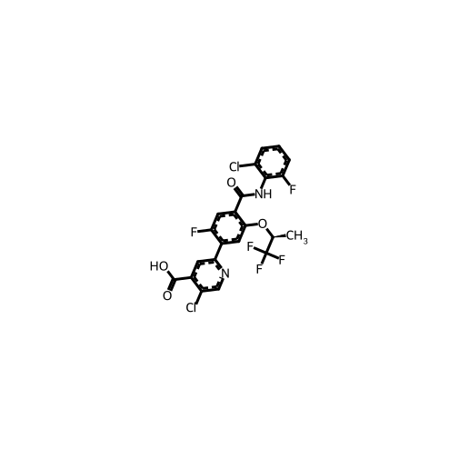 C[C@H](Oc1cc(-c2cc(C(=O)O)c(Cl)cn2)c(F)cc1C(=O)Nc1c(F)cccc1Cl)C(F)(F)F